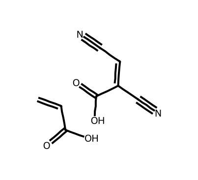 C=CC(=O)O.N#CC=C(C#N)C(=O)O